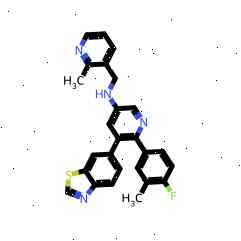 Cc1cc(-c2ncc(NCc3cccnc3C)cc2-c2ccc3ncsc3c2)ccc1F